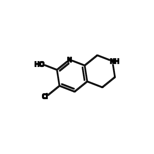 Oc1nc2c(cc1Cl)CCNC2